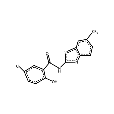 O=C(Nc1nc2ccc(C(F)(F)F)cc2s1)c1cc(Cl)ccc1O